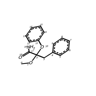 COC(Cc1ccccc1)(Oc1ccccc1)C(N)=O